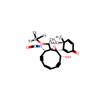 CC[Si](CC)(CC)O[C@H](C)[C@@]12O[C@@]1(C1=CC(=O)C=C[C@]1(C)OC)[C@H](O)C#C/C=C\C#C[C@@H]2N=C=O